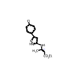 CCOC(=O)/C=C(\C)Nc1cc(-c2ccc(Cl)cc2)n[nH]1